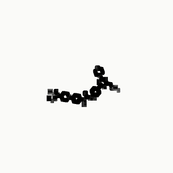 CCc1nc(-c2ccc(NC(=O)Nc3ccc(N4CCC(N(C)C)CC4)cc3)cc2)nc(N2CCOCC2)n1